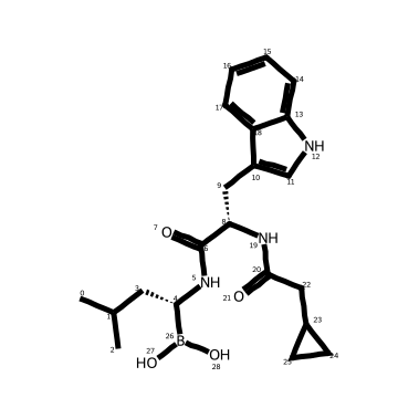 CC(C)C[C@H](NC(=O)[C@H](Cc1c[nH]c2ccccc12)NC(=O)CC1CC1)B(O)O